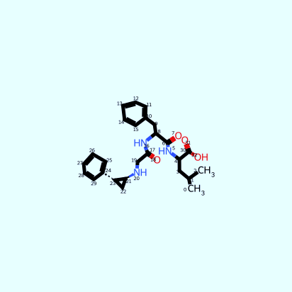 CC(C)CC(NC(=O)C(Cc1ccccc1)NC(=O)CN[C@H]1C[C@@H]1c1ccccc1)C(=O)O